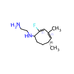 CC1=C/[C@H](C)CCC(NCCN)/C(F)=C\1